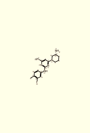 CCCc1cc(N2CCC[C@@H](N)C2)nc(Nc2ccc(C)c(F)c2)n1